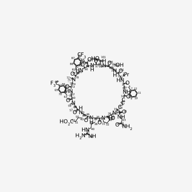 CC(C)[C@@H]1NC(=O)[C@H](Cc2ccccc2)NC(=O)CSC[C@@H](C(=O)NCC(N)=O)NC(=O)[C@@H]2CCCN2C(=O)[C@H](CCCNC(=N)N)NC(=O)[C@H](CCCC(=O)O)NC(=O)[C@H](C)N(C)C(=O)[C@H](Cc2ccc(C(F)(F)F)cc2)NC(=O)[C@H](C)N(C)C(=O)[C@H](Cc2ccc(C(F)(F)F)cc2)NC(=O)[C@H]([C@@H](C)O)NC(=O)[C@H]([C@@H](C)O)NC(=O)[C@H](CO)NC1=O